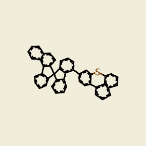 c1ccc2c(c1)-c1c(-c3ccc4c(c3)Sc3cccc5cccc-4c35)cccc1C21c2ccccc2-c2c1ccc1ccccc21